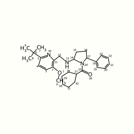 COc1ccc(C(C)(C)C)nc1CNC1CCC(c2ccccc2)N1C(=O)C1CCCCC1